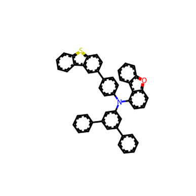 c1ccc(-c2cc(-c3ccccc3)cc(N(c3ccc(-c4ccc5sc6ccccc6c5c4)cc3)c3cccc4oc5ccccc5c34)c2)cc1